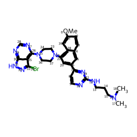 COc1ccc2cc(-c3ccnc(NCCCN(C)C)n3)cc(N3CCN(c4ncnc5[nH]nc(Br)c45)CC3)c2c1